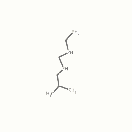 CC(C)CPCPCP